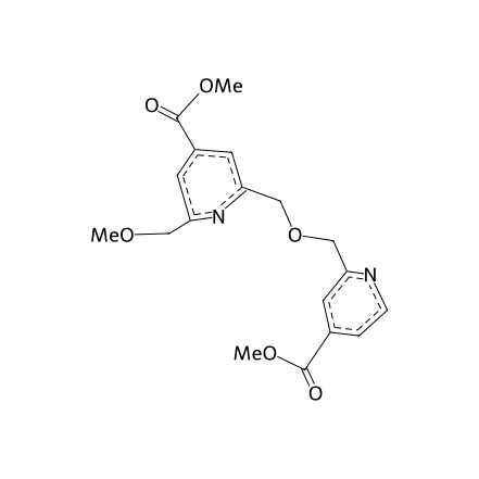 COCc1cc(C(=O)OC)cc(COCc2cc(C(=O)OC)ccn2)n1